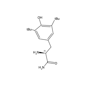 CC(C)(C)c1cc(C[C@H](N)C(N)=O)cc(C(C)(C)C)c1O